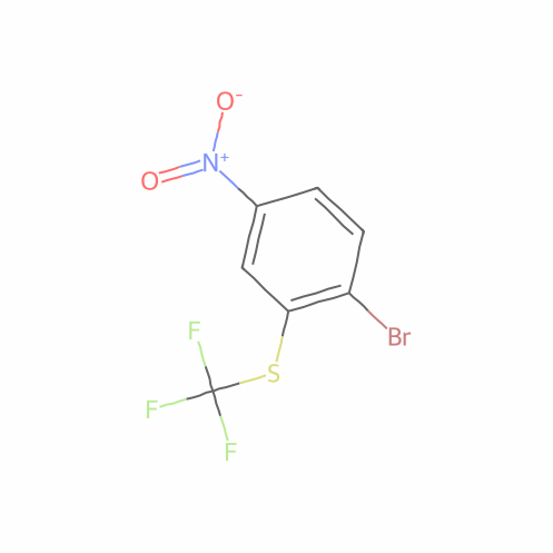 O=[N+]([O-])c1ccc(Br)c(SC(F)(F)F)c1